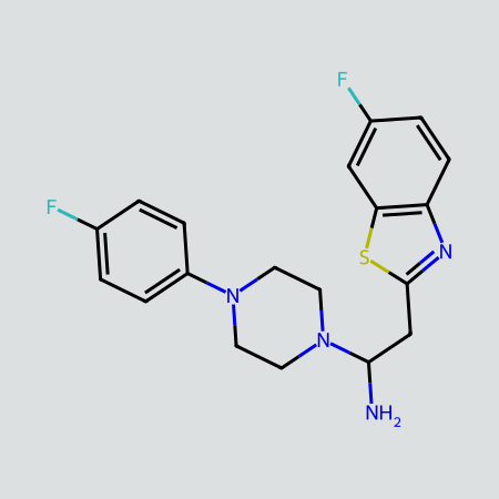 NC(Cc1nc2ccc(F)cc2s1)N1CCN(c2ccc(F)cc2)CC1